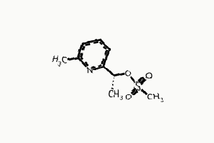 Cc1cccc([C@@H](C)OS(C)(=O)=O)n1